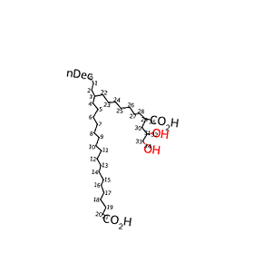 CCCCCCCCCCCCC(CCCCCCCCCCCCCCCCCC(=O)O)CCCCCCCC(CC(O)CO)C(=O)O